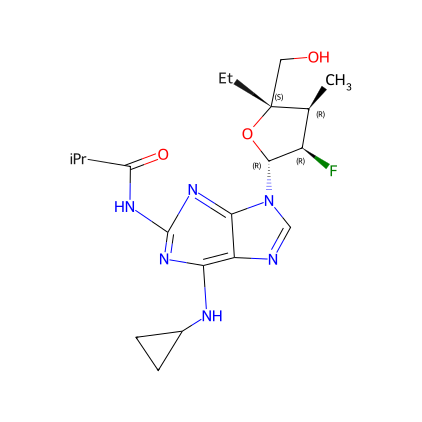 CC[C@]1(CO)O[C@@H](n2cnc3c(NC4CC4)nc(NC(=O)C(C)C)nc32)[C@H](F)[C@@H]1C